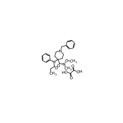 CCC(=O)N(c1ccccc1)C1(C(=O)N(C)OC)CCN(Cc2ccccc2)CC1.O=C(O)C(=O)O